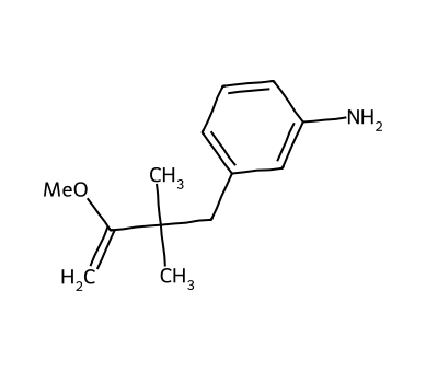 C=C(OC)C(C)(C)Cc1cccc(N)c1